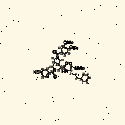 CNC(=O)[C@H](CCCc1ccccc1)NC(=O)C1CN(C(=O)c2ccc(C#N)cn2)CC2CN(C(=O)c3ccc(OC(C)C)c(OC)c3)CC21